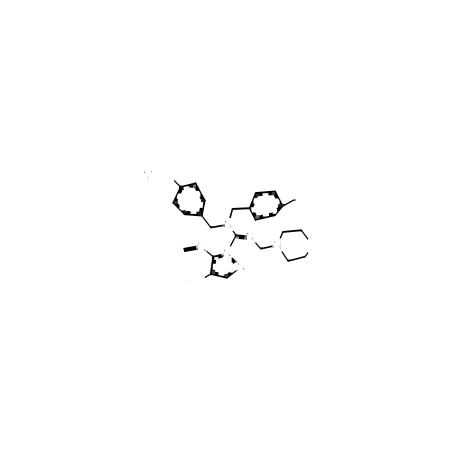 C=Nc1c(C(F)(F)F)cnn1/C(=N\CN1CCOCC1)N(Cc1ccc(CC)cc1)Cc1ccc(OC)cc1